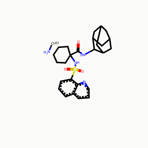 NC=O.O=C(NC1C2CC3CC(C2)CC1C3)C1(NS(=O)(=O)c2cccc3cccnc23)CCCCC1